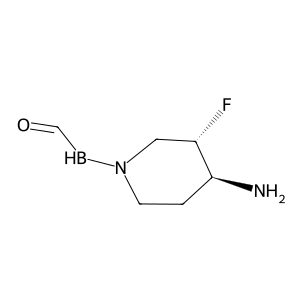 N[C@H]1CCN(BC=O)C[C@@H]1F